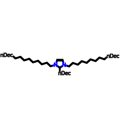 CCCCCCCCCCCCCCCCCCCN1C=CN(CCCCCCCCCCCCCCCCCCC)C1CCCCCCCCCC